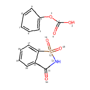 O=C(O)Oc1ccccc1.O=C1NS(=O)(=O)c2ccccc21